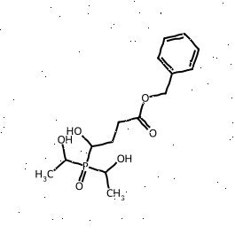 CC(O)P(=O)(C(C)O)C(O)CCC(=O)OCc1ccccc1